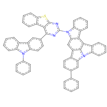 c1ccc(-c2ccc3c4cc5c(c6ccccc6n5-c5nc(-c6ccc7c(c6)c6ccccc6n7-c6ccccc6)c6c(n5)sc5ccccc56)c5c6ccccc6n(c3c2)c45)cc1